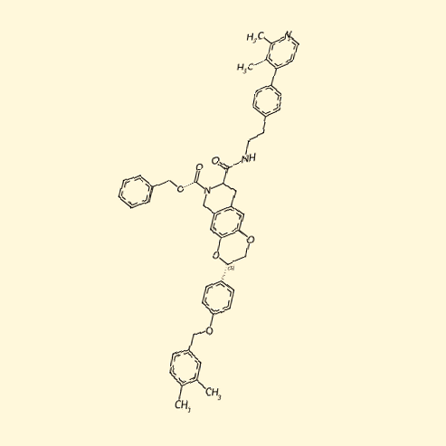 Cc1ccc(COc2ccc([C@H]3COc4cc5c(cc4O3)CN(C(=O)OCc3ccccc3)C(C(=O)NCCc3ccc(-c4ccnc(C)c4C)cc3)C5)cc2)cc1C